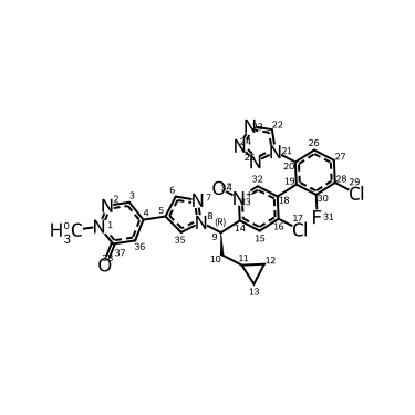 Cn1ncc(-c2cnn([C@H](CC3CC3)c3cc(Cl)c(-c4c(-n5cnnn5)ccc(Cl)c4F)c[n+]3[O-])c2)cc1=O